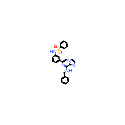 O=S(=O)(Nc1cccc(-c2cn3ccnc3c(NCc3ccccc3)n2)c1)c1ccccc1